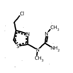 CN=C(N)N(C)c1nc(CCl)cs1